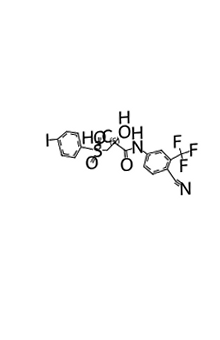 C[C@@](O)(CS(=O)(=O)c1ccc(I)cc1)C(=O)Nc1ccc(C#N)c(C(F)(F)F)c1